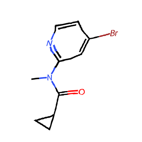 CN(C(=O)C1CC1)c1cc(Br)ccn1